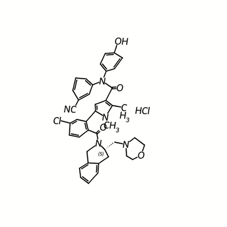 Cc1c(C(=O)N(c2ccc(O)cc2)c2cccc(C#N)c2)cc(-c2cc(Cl)ccc2C(=O)N2Cc3ccccc3C[C@H]2CN2CCOCC2)n1C.Cl